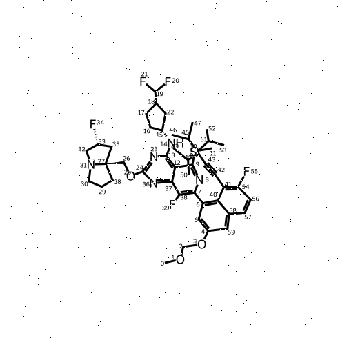 COCOc1cc(-c2nc(OC)c3c(N[C@@H]4CCC(C(F)F)C4)nc(OC[C@@]45CCCN4C[C@H](F)C5)nc3c2F)c2c(C#C[Si](C(C)C)(C(C)C)C(C)C)c(F)ccc2c1